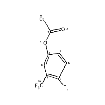 CCC(=O)Oc1ccc(F)c(C(F)(F)F)c1